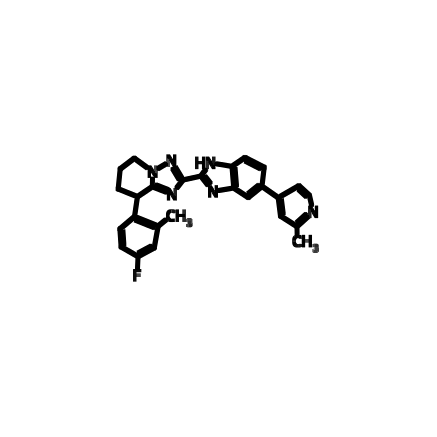 Cc1cc(-c2ccc3[nH]c(-c4nc5n(n4)CCCC5c4ccc(F)cc4C)nc3c2)ccn1